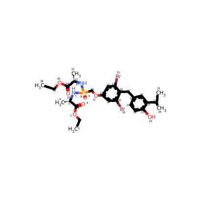 CCOC(=O)[C@H](C)NP(=O)(COc1cc(Br)c(Cc2ccc(O)c(C(C)C)c2)c(Br)c1)N[C@@H](C)C(=O)OCC